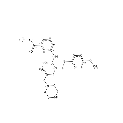 C=C(CN1CCNCC1)CN(CCc1ccc(OC)cc1)C(=O)Nc1cccc(C(=O)OC)c1